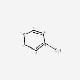 SC1=CCSC=C1